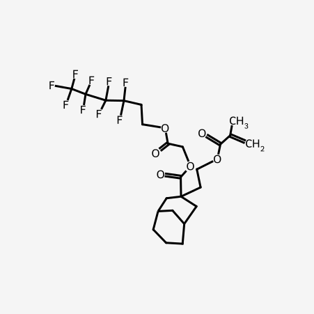 C=C(C)C(=O)OCCC1(C(=O)OCC(=O)OCCC(F)(F)C(F)(F)C(F)(F)C(F)(F)F)CC2CCCC(C2)C1